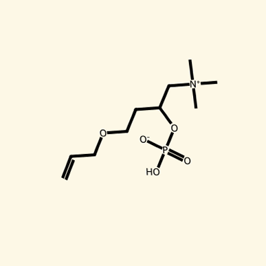 C=CCOCCC(C[N+](C)(C)C)OP(=O)([O-])O